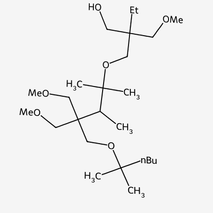 CCCCC(C)(C)OCC(COC)(COC)C(C)C(C)(C)OCC(CC)(CO)COC